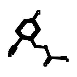 N#Cc1ccc(Cl)cc1COC(N)=O